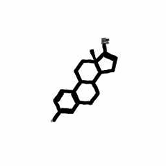 [CH2]c1ccc2c(c1)CCC1C2CC[C@]2(C)C(CC)=CCC12